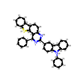 c1ccc(-c2nc(-c3ccc4c(c3)c3ccccc3n4-c3ccccc3)nc3ccc4c5ccccc5sc4c23)cc1